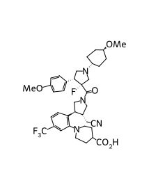 COc1ccc([C@@H]2CN([C@H]3CC[C@H](OC)CC3)C[C@@]2(F)C(=O)N2C[C@H](CC#N)[C@@H](c3ccc(C(F)(F)F)cc3N3CCC(C(=O)O)CC3)C2)cc1